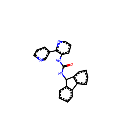 O=C(Nc1cccnc1-c1cccnc1)NC1c2ccccc2-c2ccccc21